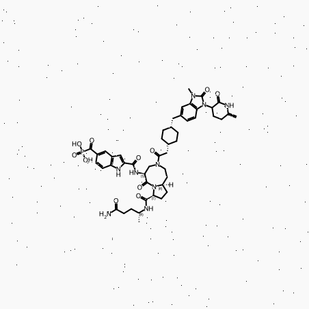 C=C1CCC(n2c(=O)n(C)c3cc(C[C@H]4CC[C@@H](CC(=O)N5CC[C@H]6CC[C@@H](C(=O)N[C@H](C)CCC(N)=O)N6C(=O)[C@@H](NC(=O)c6cc7cc(C(=O)P(=O)(O)O)ccc7[nH]6)C5)CC4)ccc32)C(=O)N1